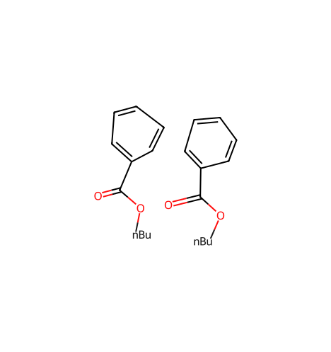 CCCCOC(=O)c1ccccc1.CCCCOC(=O)c1ccccc1